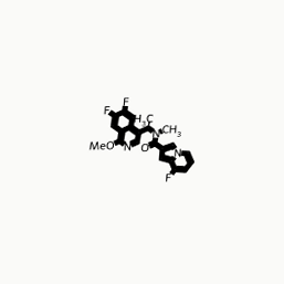 COc1ncc([C@H](C)N(C)C(=O)c2cc3c(F)cccn3c2)c2cc(F)c(F)cc12